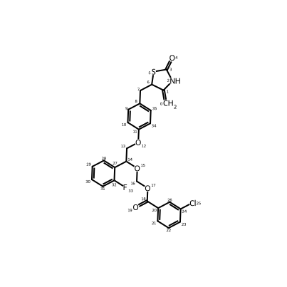 C=C1NC(=O)SC1Cc1ccc(OCC(OCOC(=O)c2cccc(Cl)c2)c2ccccc2F)cc1